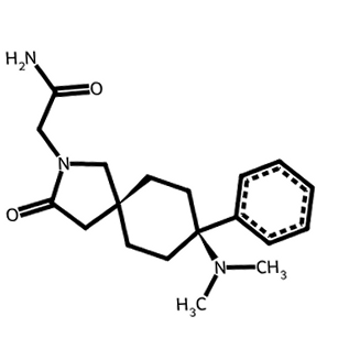 CN(C)[C@]1(c2ccccc2)CC[C@@]2(CC1)CC(=O)N(CC(N)=O)C2